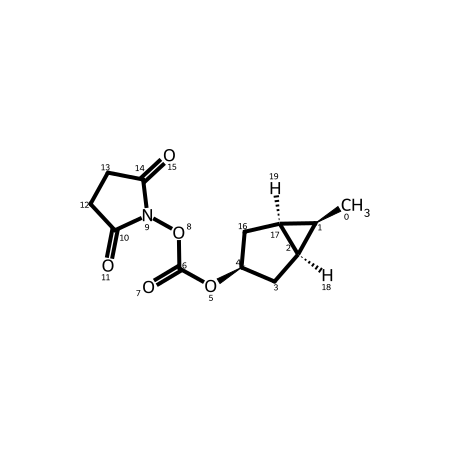 C[C@H]1[C@H]2C[C@@H](OC(=O)ON3C(=O)CCC3=O)C[C@@H]12